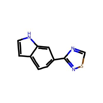 c1cc2ccc(-c3ncsn3)cc2[nH]1